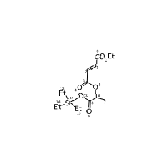 CCOC(=O)C=CC(=O)OC(C)C(=O)O[Si](CC)(CC)CC